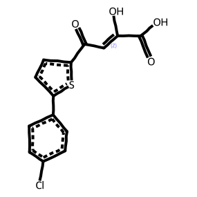 O=C(O)/C(O)=C/C(=O)c1ccc(-c2ccc(Cl)cc2)s1